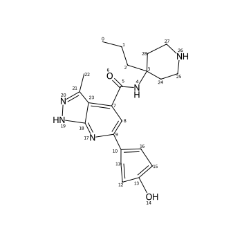 CCCC1(NC(=O)c2cc(-c3ccc(O)cc3)nc3[nH]nc(C)c23)CCNCC1